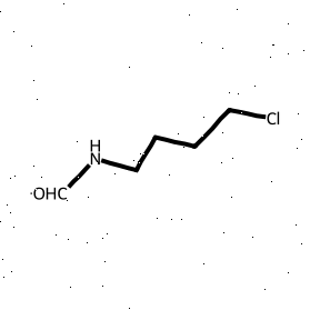 O=[C]NCCCCCl